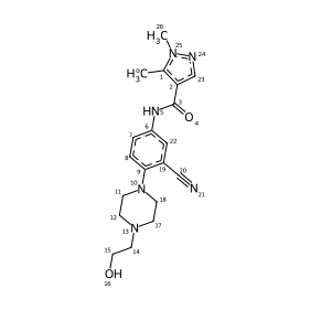 Cc1c(C(=O)Nc2ccc(N3CCN(CCO)CC3)c(C#N)c2)cnn1C